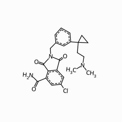 CN(C)CCC1(c2cccc(CN3C(=O)c4cc(Cl)cc(C(N)=O)c4C3=O)c2)CC1